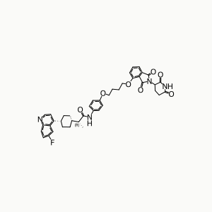 C[C@@H](C(=O)Nc1ccc(OCCCCOc2cccc3c2C(=O)N(C2CCC(=O)NC2=O)C3=O)cc1)[C@H]1CC[C@@H](c2ccnc3ccc(F)cc32)CC1